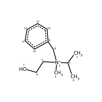 CC(C)[N+](C)(CCO)Cc1ccccc1